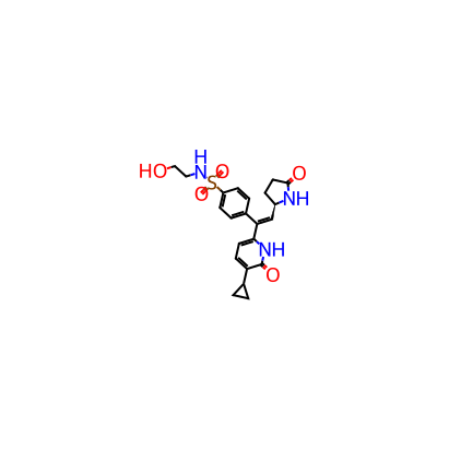 O=C1CC[C@H](/C=C(\c2ccc(S(=O)(=O)NCCO)cc2)c2ccc(C3CC3)c(=O)[nH]2)N1